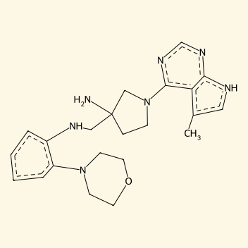 Cc1c[nH]c2ncnc(N3CCC(N)(CNc4ccccc4N4CCOCC4)C3)c12